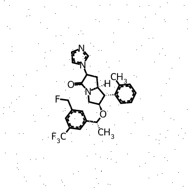 Cc1ccccc1[C@@H]1[C@@H](O[C@H](C)c2cc(CF)cc(C(F)(F)F)c2)CN2C(=O)C(n3ccnc3)C[C@@H]12